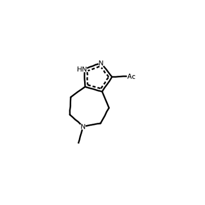 CC(=O)c1n[nH]c2c1CCN(C)CC2